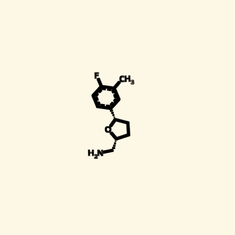 Cc1cc([C@@H]2CC[C@H](CN)O2)ccc1F